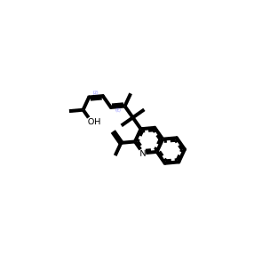 C=C(C)c1nc2ccccc2cc1C(C)(C)/C(C)=C/C=C\C(C)O